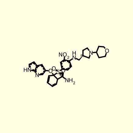 NC(=O)C1C=CC=CC1(Oc1cnc2[nH]ccc2c1)S(=O)(=O)c1ccc(NC[C@H]2CCN(C3CCOCC3)C2)c([N+](=O)[O-])c1